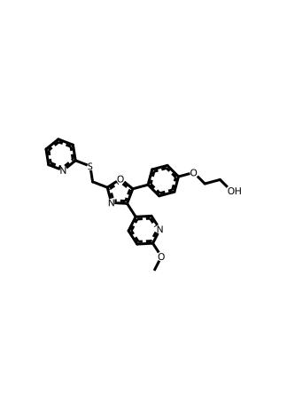 COc1ccc(-c2nc(CSc3ccccn3)oc2-c2ccc(OCCO)cc2)cn1